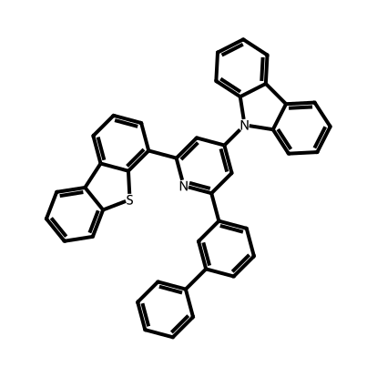 c1ccc(-c2cccc(-c3cc(-n4c5ccccc5c5ccccc54)cc(-c4cccc5c4sc4ccccc45)n3)c2)cc1